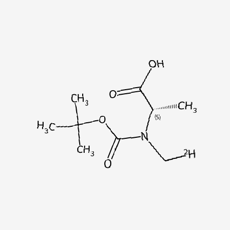 [2H]CN(C(=O)OC(C)(C)C)[C@@H](C)C(=O)O